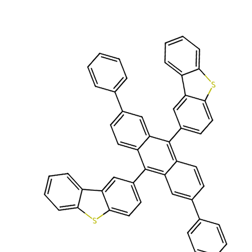 c1ccc(-c2ccc3c(-c4ccc5sc6ccccc6c5c4)c4cc(-c5ccccc5)ccc4c(-c4ccc5sc6ccccc6c5c4)c3c2)cc1